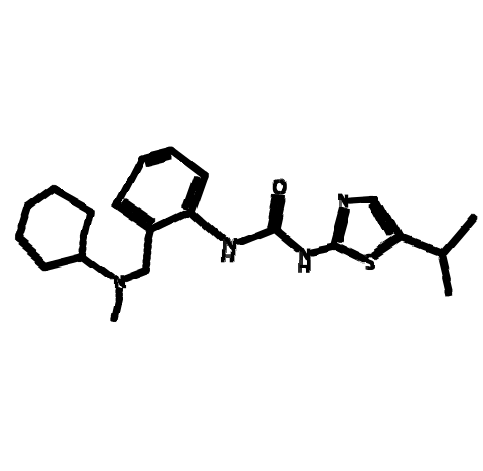 CC(C)c1cnc(NC(=O)Nc2ccccc2CN(C)C2CCCCC2)s1